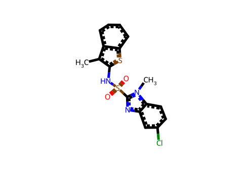 Cc1c(NS(=O)(=O)c2nc3cc(Cl)ccc3n2C)sc2ccccc12